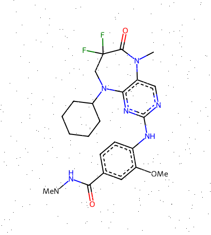 CNNC(=O)c1ccc(Nc2ncc3c(n2)N(C2CCCCC2)CC(F)(F)C(=O)N3C)c(OC)c1